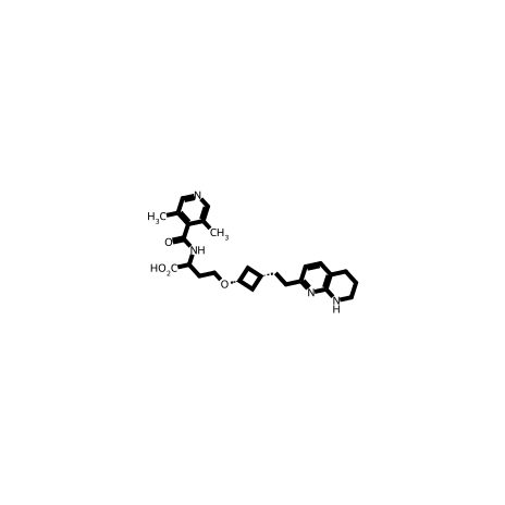 Cc1cncc(C)c1C(=O)NC(CCO[C@H]1C[C@@H](CCc2ccc3c(n2)NCCC3)C1)C(=O)O